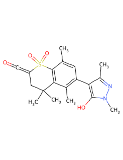 Cc1cc(-c2c(C)nn(C)c2O)c(C)c2c1S(=O)(=O)C(=C=O)CC2(C)C